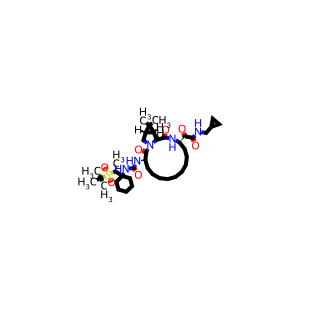 C[C@H](C1(NC(=O)N[C@H]2CCCCCCCCC[C@@H](C(=O)C(=O)NCC3CC3)NC(=O)[C@@H]3[C@@H]4[C@H](CN3C2=O)C4(C)C)CCCCC1)S(=O)(=O)C(C)(C)C